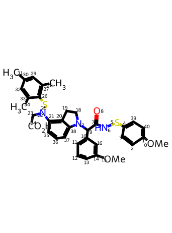 COc1ccc(SNC(=O)C(c2cccc(OC)c2)N2CCc3c(N(CC(=O)O)Sc4c(C)cc(C)cc4C)cccc32)cc1